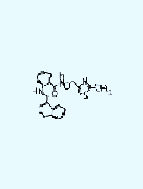 Cc1nc(CONC(=O)c2ccccc2NCc2ccnc3ccccc23)cs1